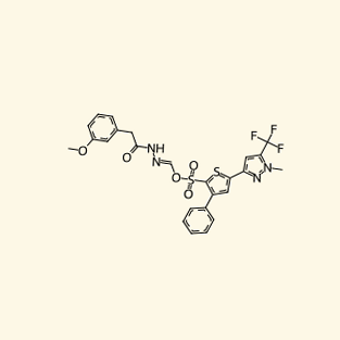 COc1cccc(CC(=O)N/N=C/OS(=O)(=O)c2sc(-c3cc(C(F)(F)F)n(C)n3)cc2-c2ccccc2)c1